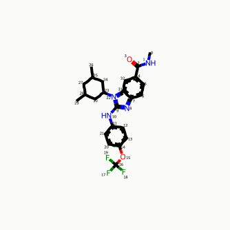 CNC(=O)c1ccc2nc(Nc3ccc(OC(F)(F)F)cc3)n(C3CC(C)CC(C)C3)c2c1